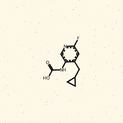 O=C(O)Nc1cnc(F)cc1CC1CC1